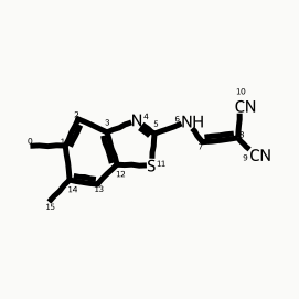 Cc1cc2nc(NC=C(C#N)C#N)sc2cc1C